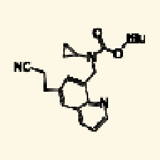 CC(C)(C)OC(=O)N(Cc1cc(CCC#N)cc2cccnc12)C1CC1